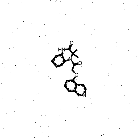 CC1(C)C(=O)Nc2ccccc2N1C(=O)COc1cccc2cnccc12